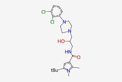 Cc1c(C(=O)NCC(O)CN2CCN(c3cccc(Cl)c3Cl)CC2)cc(C(C)(C)C)n1C